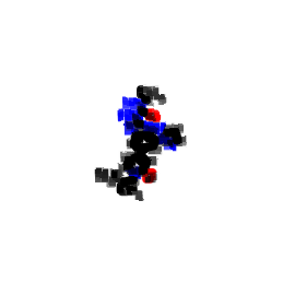 CCNC(=O)Nc1nc2cc(-c3ccn(CC(C)C)c(=O)c3)cc(-n3cccn3)c2[nH]1